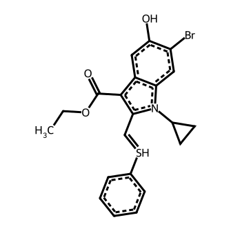 CCOC(=O)c1c(C=[SH]c2ccccc2)n(C2CC2)c2cc(Br)c(O)cc12